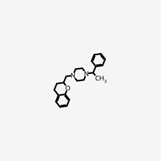 CC(c1ccccc1)N1CCN(CC2CCc3ccccc3O2)CC1